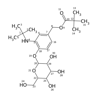 CC(C)(C)Nc1cc(COC(=O)C(C)(C)C)ccc1OC1OC(CO)C(O)C(O)C1O